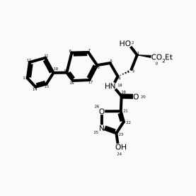 CCOC(=O)[C@H](O)C[C@@H](Cc1ccc(-c2ccccc2)cc1)NC(=O)c1cc(O)no1